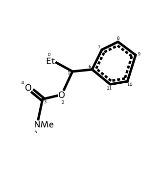 CCC(OC(=O)NC)c1ccccc1